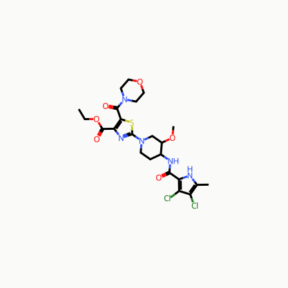 CCOC(=O)c1nc(N2CCC(NC(=O)c3[nH]c(C)c(Cl)c3Cl)C(OC)C2)sc1C(=O)N1CCOCC1